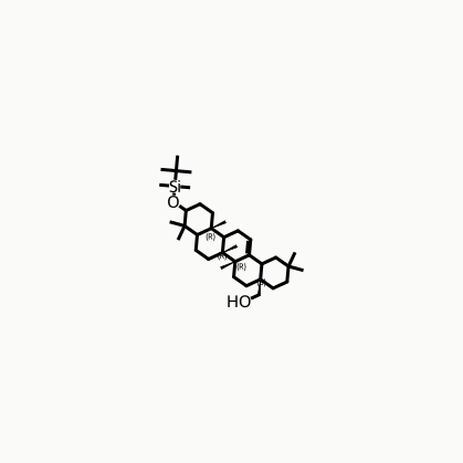 CC1(C)CC[C@]2(CO)CC[C@@]3(C)C(=CCC4[C@@]5(C)CCC(O[Si](C)(C)C(C)(C)C)C(C)(C)C5CC[C@]43C)C2C1